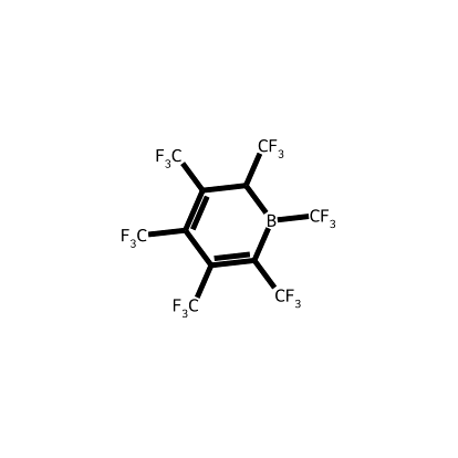 FC(F)(F)B1C(C(F)(F)F)=C(C(F)(F)F)C(C(F)(F)F)=C(C(F)(F)F)C1C(F)(F)F